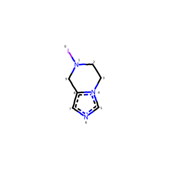 IN1CCn2cncc2C1